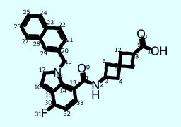 O=C(NC1CC2(C1)CC(C(=O)O)C2)C1=C2C(=CCN2Cc2ccc3ccccc3c2)C(F)C=C1